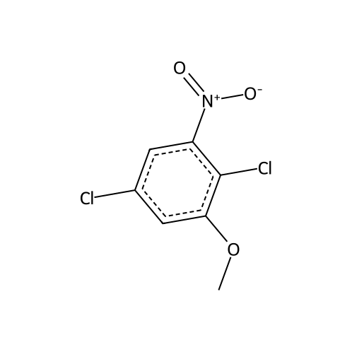 COc1cc(Cl)cc([N+](=O)[O-])c1Cl